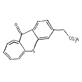 O=C(O)Cc1ccc2c(=O)c3ccccc3sc2c1